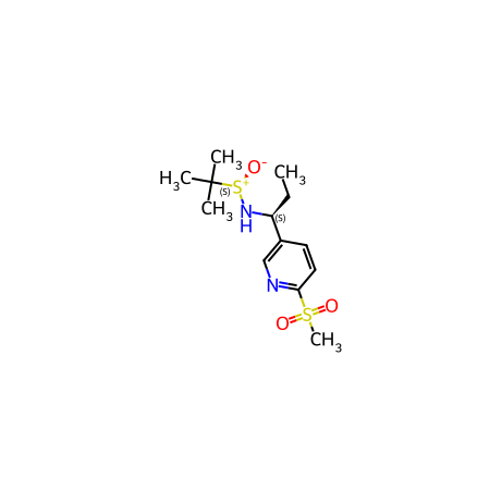 CC[C@H](N[S@+]([O-])C(C)(C)C)c1ccc(S(C)(=O)=O)nc1